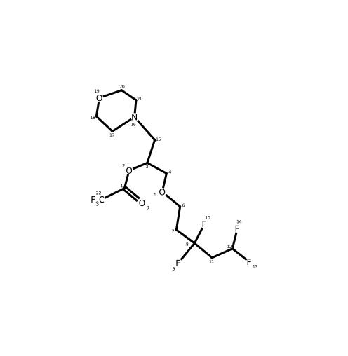 O=C(OC(COCCC(F)(F)CC(F)F)CN1CCOCC1)C(F)(F)F